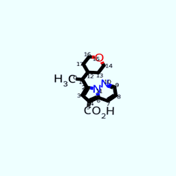 CC(c1cc(C(=O)O)c2cccnn12)C1CCOCC1